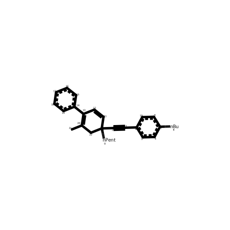 CCCCCC1(C#Cc2ccc(CCCC)cc2)C=CC(c2ccccc2)=C(C)C1